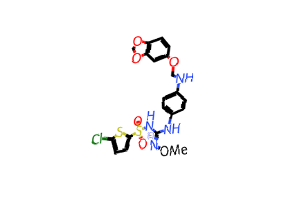 CO/N=C(\Nc1ccc(NCOc2ccc3c(c2)OCO3)cc1)NS(=O)(=O)c1ccc(Cl)s1